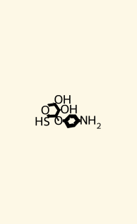 Nc1ccc(O[C@@H]2[C@@H](O)[C@H](O)CO[C@H]2S)cc1